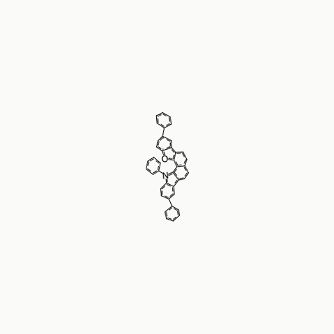 c1ccc(-c2ccc3oc4c(ccc5ccc6c7cc(-c8ccccc8)ccc7n(-c7ccccc7)c6c54)c3c2)cc1